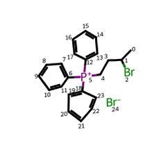 CC(Br)CC[P+](c1ccccc1)(c1ccccc1)c1ccccc1.[Br-]